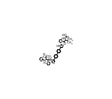 CC(C)[C@H](NC(=O)O)C(=O)N1CCC[C@H]1c1ncc(-c2ccc(-c3ccc(-c4cnc([C@@H]5CCCN5C(=O)[C@@H](NC5=NCCS5)C(C)C)[nH]4)cc3)cc2)[nH]1